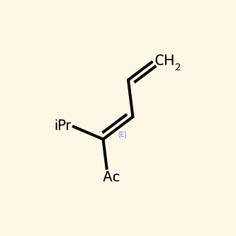 C=C/C=C(/C(C)=O)C(C)C